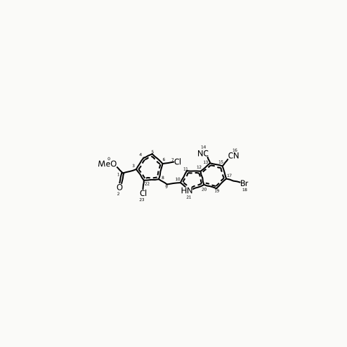 COC(=O)c1ccc(Cl)c(Cc2cc3c(C#N)c(C#N)c(Br)cc3[nH]2)c1Cl